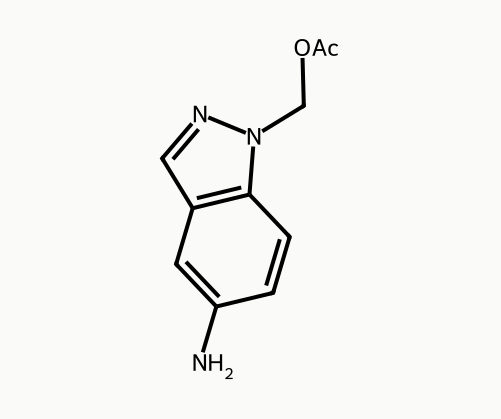 CC(=O)OCn1ncc2cc(N)ccc21